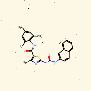 Cc1cc(C)c(NC(=O)c2sc(NC(=O)Nc3ccc4ccccc4c3)nc2C)c(C)c1